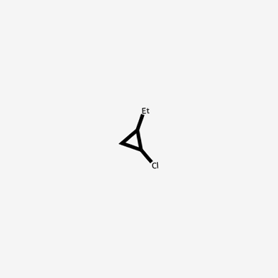 [CH2]CC1CC1Cl